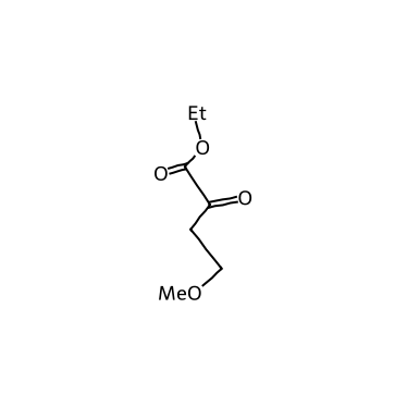 CCOC(=O)C(=O)CCOC